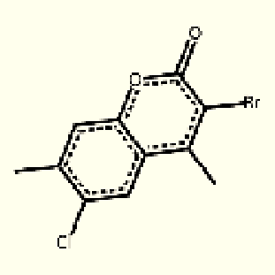 Cc1cc2oc(=O)c(Br)c(C)c2cc1Cl